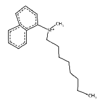 CCCCCCCC[Se+](C)c1cccc2ccccc12